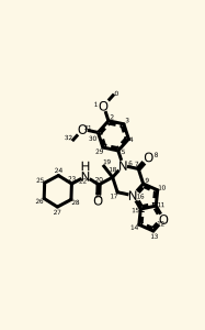 COc1ccc(N2C(=O)c3cc4occc4n3CC2(C)C(=O)NC2CCCCC2)cc1OC